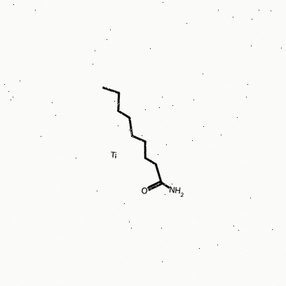 CCCCCCCCC(N)=O.[Ti]